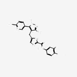 O=C(Nc1ccc(C(=O)O)c(Cl)c1)c1ncc(Cc2c(C(F)(F)F)n[nH]c2-c2ccc(Cl)nc2)[nH]1